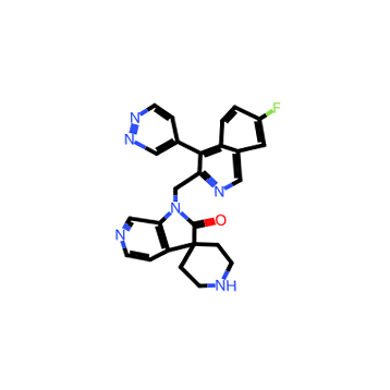 O=C1N(Cc2ncc3cc(F)ccc3c2-c2ccnnc2)c2cnccc2C12CCNCC2